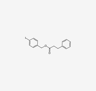 O=C(CCc1ccccc1)OCc1ccc(I)cc1